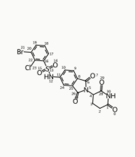 O=C1CCC(N2C(=O)c3ccc(NS(=O)(=O)c4cccc(Br)c4Cl)cc3C2=O)C(=O)N1